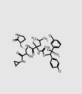 CC(C)CC(I)(NC(=O)OC(c1ccc(Cl)cc1)C(C)(C)c1cccc(Cl)c1)C(=O)N[C@@H](C[C@@H]1CCNC1=O)C(O)C(=O)NC1CC1